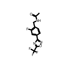 CC(=O)NCc1ccc(-c2noc(C(F)(F)F)n2)cc1F